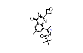 C/C(=N/[S@+]([O-])C(C)(C)C)c1cc(C)cc2c(=O)n(C)c(C3COC3)nc12